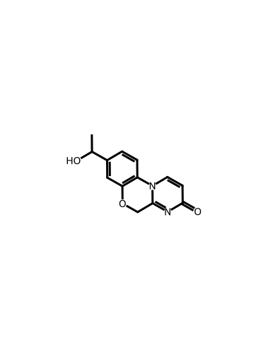 CC(O)c1ccc2c(c1)OCc1nc(=O)ccn1-2